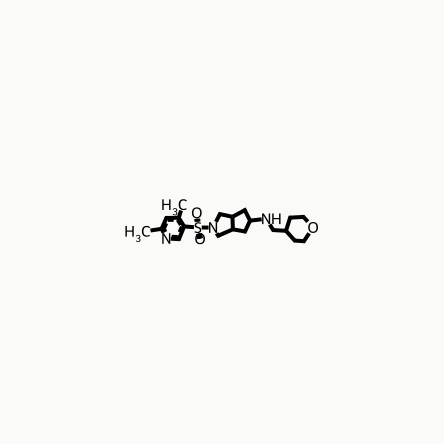 Cc1cc(C)c(S(=O)(=O)N2CC3CC(NCC4CCOCC4)CC3C2)cn1